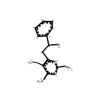 Nc1nc(N)c([N+](=O)[O-])c(CC(Br)c2ccccc2)n1